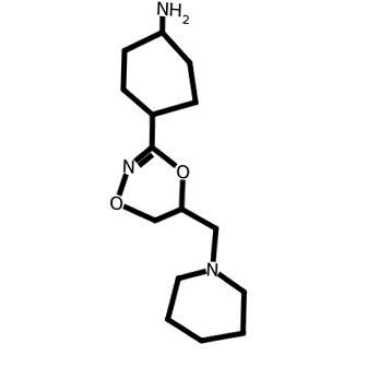 NC1CCC(C2=NOCC(CN3CCCCC3)O2)CC1